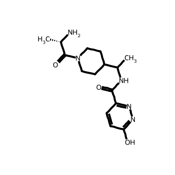 CC(NC(=O)c1ccc(O)nn1)C1CCN(C(=O)[C@H](C)N)CC1